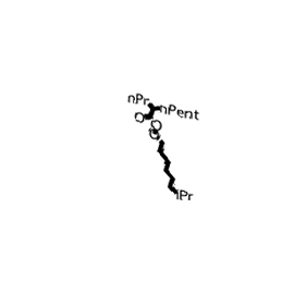 CCCCCC(CCC)C(=O)OOCCCCCCC(C)C